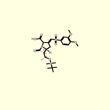 COc1ccc(S(=O)(=O)/C=C2\C[C@@H]3[C@H]([C@@H](C)O[Si](C)(C)C(C)(C)C)C(=O)N3C2C(=O)O)cc1OC